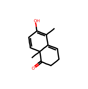 CC1=C(O)C=CC2(C)C(=O)CCC=C12